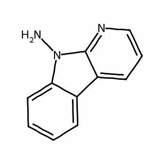 Nn1c2ccccc2c2cccnc21